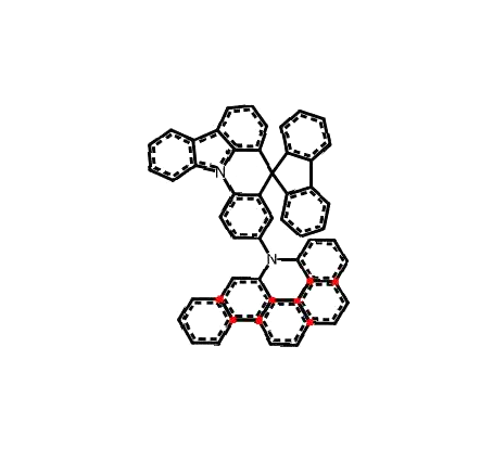 c1ccc(-c2cccc(-c3ccccc3N(c3ccc4c(c3)C3(c5ccccc5-c5ccccc53)c3cccc5c6ccccc6n-4c35)c3ccccc3-c3ccccc3)c2)cc1